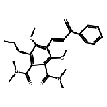 CCCc1c(OC)c(C=CC(=O)c2ccccc2)c(OC)c(C(=O)N(C)C)c1C(=O)N(C)C